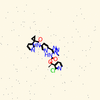 C[C@@H](OC(=O)Nc1c(-c2ccc(NC(=O)C3(c4cccnc4)CC3)cn2)nnn1C)c1cccnc1Cl